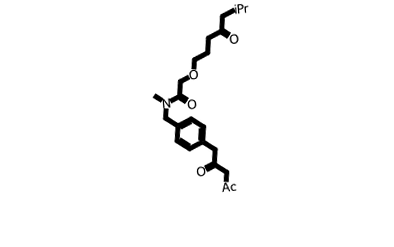 CC(=O)CC(=O)Cc1ccc(CN(C)C(=O)COCCCC(=O)CC(C)C)cc1